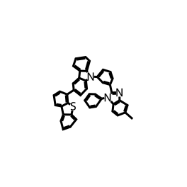 Cc1ccc2c(c1)nc(-c1cccc(-n3c4ccccc4c4cc(-c5cccc6c5sc5ccccc56)ccc43)c1)n2-c1ccccc1